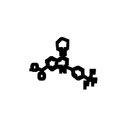 COC(=O)c1ccc2c(N3CCCCC3)cc(-c3ccc(C(F)(F)F)cc3)nc2c1